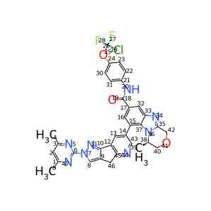 Cc1cc(C)nc(-n2cc3c(n2)-c2cc(-c4cc(C(=O)Nc5ccc(OC(F)(F)Cl)cc5)cc5nc6n(c45)[C@H](C)COC6)cnc2C3)n1